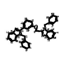 c1ccc(Cn2c(COc3cccc(-c4nc5ccccc5n4Cc4ccccc4)c3)nc3ccccc32)cc1